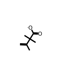 C=C(C)C(C)(C)C([O])=O